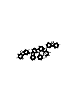 c1ccc(-n2c3c(ccc4c3c3ccccc3n4-c3ccc4oc5ccccc5c4c3)c3ccc4c(c5ncccc5n4-c4ccc5oc6ccccc6c5c4)c32)cc1